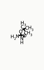 CC(C)(C)OC1(N)NO1